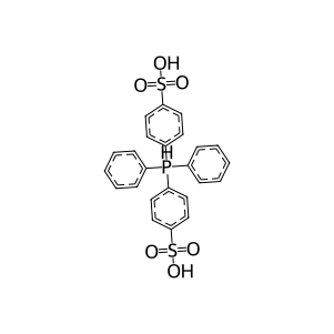 O=S(=O)(O)c1ccc([PH](c2ccccc2)(c2ccccc2)c2ccc(S(=O)(=O)O)cc2)cc1